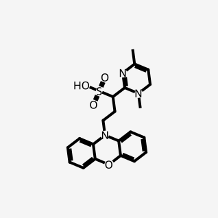 CC1=CCN(C)C(C(CCN2c3ccccc3Oc3ccccc32)S(=O)(=O)O)=N1